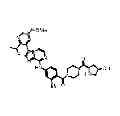 CCc1cc(Nc2nccn3c(C4=CC(COC)CN=C4C(C)F)cnc23)ccc1C(=O)N1CCN(C(=O)C2CC(O)CN2)CC1